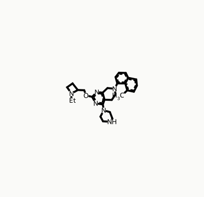 CCN1CCC1COc1nc2c(c(N3CCNCC3)n1)CCN(c1cccc3cccc(C)c13)C2